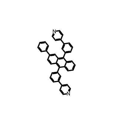 c1ccc(-c2ccc3c(-c4cccc(-c5ccncc5)c4)c4ccccc4c(-c4cccc(-c5ccncc5)c4)c3c2)cc1